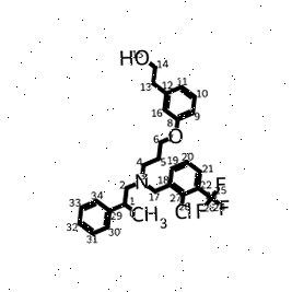 CC(CN(CCCOc1cccc(CCO)c1)Cc1cccc(C(F)(F)F)c1Cl)c1ccccc1